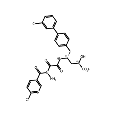 NN(C(=O)C(=O)N[C@H](Cc1ccc(-c2cccc(Cl)c2)cc1)C[C@@H](O)C(=O)O)C(=O)c1ccc(Cl)nc1